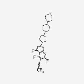 CC1CCC(C2CCC(C3CCC(c4cc(F)c5c(F)c(C#CC(F)(F)F)c(F)cc5c4)CC3)CC2)CC1